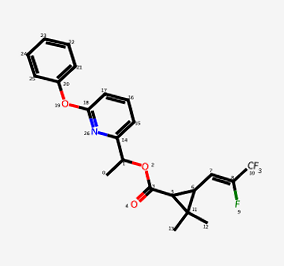 CC(OC(=O)C1C(C=C(F)C(F)(F)F)C1(C)C)c1cccc(Oc2ccccc2)n1